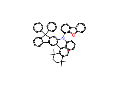 Cc1ccc2c(c1-c1cc3c(cc1N(c1ccccc1)c1cccc4c1oc1ccccc14)C(c1ccccc1)(c1ccccc1)c1ccccc1-3)C(C)(C)CCC2(C)C